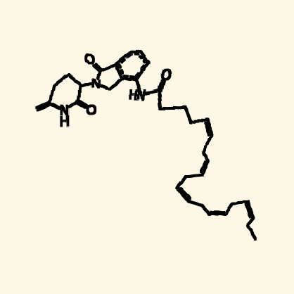 C=C1CCC(N2Cc3c(NC(=O)CCC/C=C\C/C=C\C/C=C\C/C=C\C/C=C\CC)cccc3C2=O)C(=O)N1